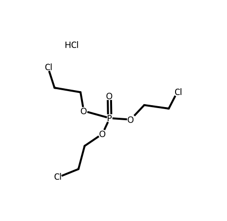 Cl.O=P(OCCCl)(OCCCl)OCCCl